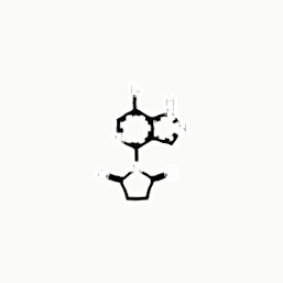 O=C1CCC(=O)N1c1ncc(Br)c2[nH]ncc12